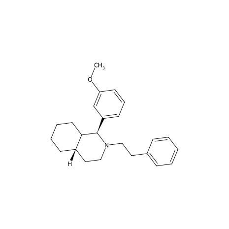 COc1cccc([C@@H]2C3CCCC[C@H]3CCN2CCc2ccccc2)c1